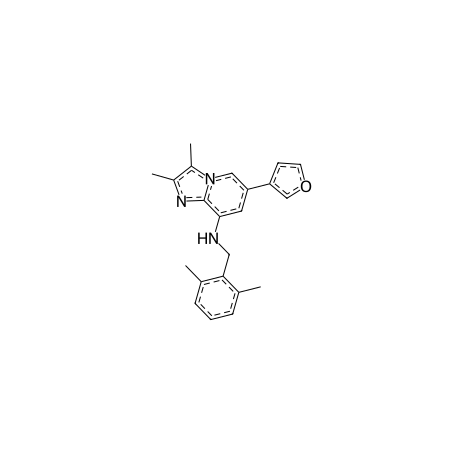 Cc1cccc(C)c1CNc1cc(-c2ccoc2)cn2c(C)c(C)nc12